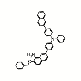 Nc1c(OCC2=CCCC=C2)ccc2ccc(-c3ccc(N(c4ccccc4)c4ccc(-c5ccc6ccccc6c5)cc4)cc3)cc12